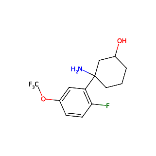 NC1(c2cc(OC(F)(F)F)ccc2F)CCCC(O)C1